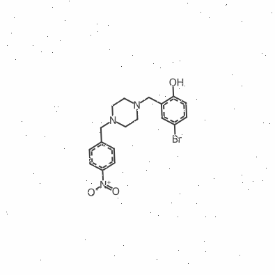 O=[N+]([O-])c1ccc(CN2CCN(Cc3cc(Br)ccc3O)CC2)cc1